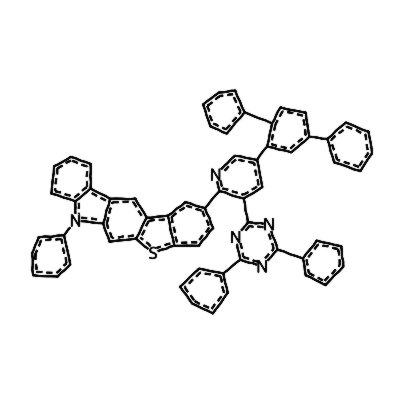 c1ccc(-c2ccc(-c3ccccc3)c(-c3cnc(-c4ccc5sc6cc7c(cc6c5c4)c4ccccc4n7-c4ccccc4)c(-c4nc(-c5ccccc5)nc(-c5ccccc5)n4)c3)c2)cc1